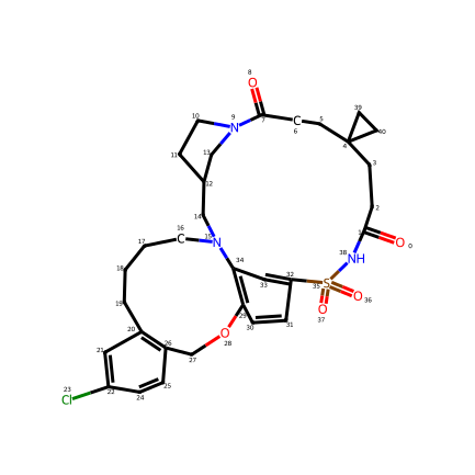 O=C1CCC2(CCC(=O)N3CCC(C3)CN3CCCCc4cc(Cl)ccc4COc4ccc(cc43)S(=O)(=O)N1)CC2